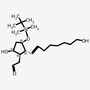 CC(C)(C)[Si](C)(C)O[C@@H]1C[C@H](O)[C@H](CC=O)[C@H]1C=CCCCCCCO